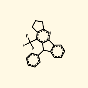 FC(F)(F)c1c2c(nc3c1C(c1ccccc1)c1ccccc1-3)CCC2